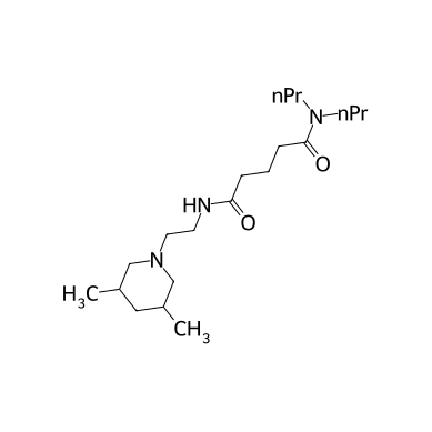 CCCN(CCC)C(=O)CCCC(=O)NCCN1CC(C)CC(C)C1